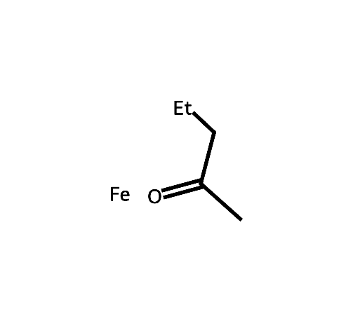 CCCC(C)=O.[Fe]